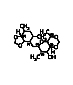 CC1CC(C)[C@H]2OCOC2[C@@H]1C[C@H]1OC2[C@@H](OCO[C@@H]2C)C(O)[C@@H]1C